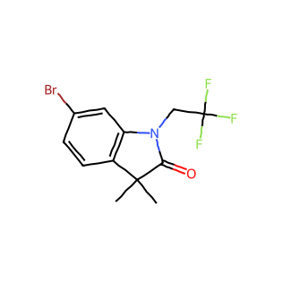 CC1(C)C(=O)N(CC(F)(F)F)c2cc(Br)ccc21